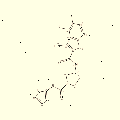 Cc1nnc2sc(C(=O)NC3CCN(C(=O)Cc4cccs4)C3)c(N)c2c1C